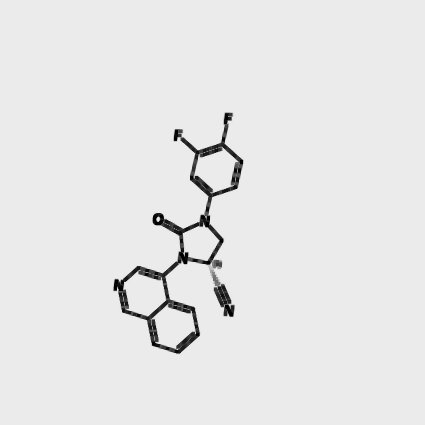 N#C[C@H]1CN(c2ccc(F)c(F)c2)C(=O)N1c1cncc2ccccc12